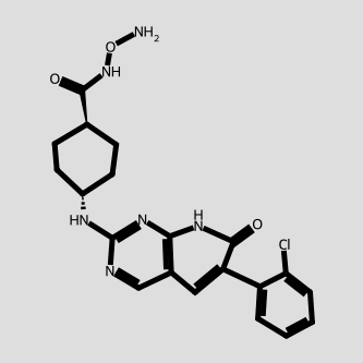 NONC(=O)[C@H]1CC[C@H](Nc2ncc3cc(-c4ccccc4Cl)c(=O)[nH]c3n2)CC1